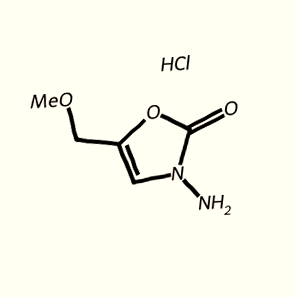 COCc1cn(N)c(=O)o1.Cl